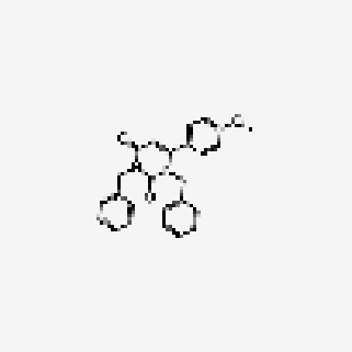 COc1ccc(-c2cc(=O)n(Cc3ccccc3)c(=O)n2Cc2ccccc2)cc1